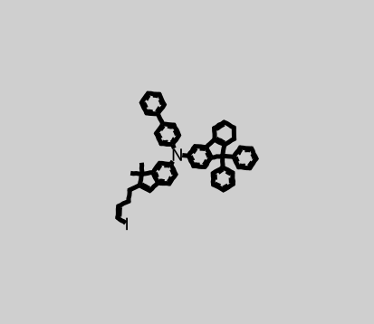 CC1(C)C(CC/C=C\I)=Cc2ccc(N(c3ccc(-c4ccccc4)cc3)c3ccc4c(c3)C3=C(CCC=C3)C4(c3ccccc3)c3ccccc3)cc21